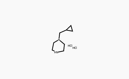 C1CN(CC2CC2)CCN1.Cl.Cl